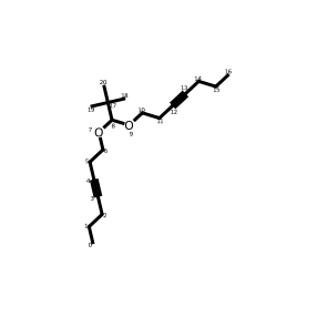 CCCC#CCCOC(OCCC#CCCC)C(C)(C)C